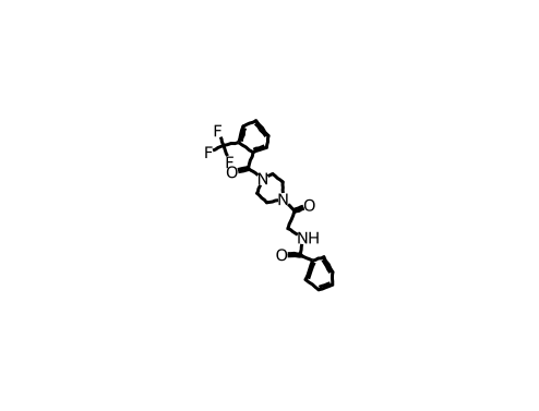 O=C(NCC(=O)N1CCN(C(=O)c2ccccc2C(F)(F)F)CC1)c1ccccc1